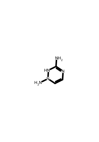 NC1=NC=CN(N)N1